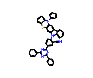 N#Cc1cc(-c2nc(C3=CCCC=C3)nc(-c3ccccc3)n2)ccc1-n1c2ccccc2c2cc3c(cc21)Sc1ccccc1N3c1ccccc1